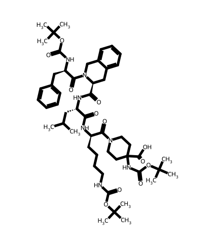 CC(C)C[C@H](NC(=O)[C@@H]1Cc2ccccc2CN1C(=O)[C@@H](Cc1ccccc1)NC(=O)OC(C)(C)C)C(=O)N[C@H](CCCCNC(=O)OC(C)(C)C)C(=O)N1CCC(NC(=O)OC(C)(C)C)(C(=O)O)CC1